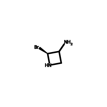 NC1CN[C@H]1Br